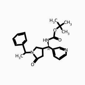 CC(c1ccccc1)N1CC([C@@H](NC(=O)OC(C)(C)C)c2cccnc2)CC1=O